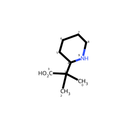 CC(C)(C(=O)O)C1CCCCN1